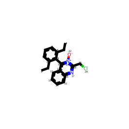 CCc1cccc(CC)c1-c1c2ccccc2nc(CCl)[n+]1[O-]